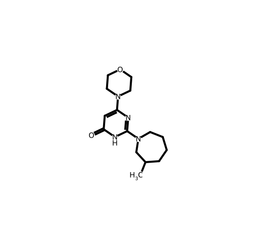 CC1CCCCN(c2nc(N3CCOCC3)cc(=O)[nH]2)C1